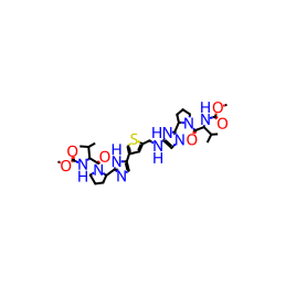 COC(=O)NC(C(=O)N1CCCC1c1ncc(NCc2cc(-c3cnc(C4CCCN4C(=O)C(NC(=O)OC)C(C)C)[nH]3)cs2)[nH]1)C(C)C